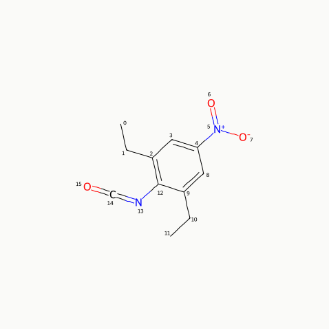 CCc1cc([N+](=O)[O-])cc(CC)c1N=C=O